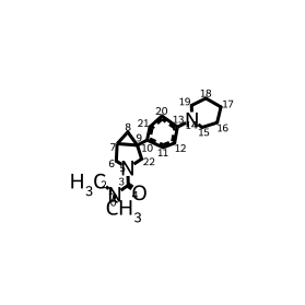 CN(C)C(=O)N1CC2CC2(c2ccc(N3CCCCC3)cc2)C1